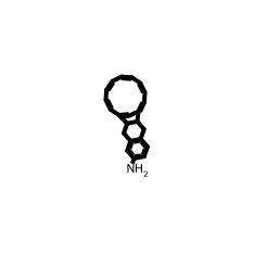 Nc1ccc2c(c1)CC1C3=CC(=C/C=C\C=C/C=C\C=C/3)\C1C2